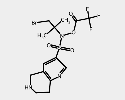 CC(C)(CBr)N(OC(=O)C(F)(F)F)S(=O)(=O)c1cnc2c(c1)CNCC2